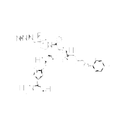 [N-]=[N+]=NC[C@@]1(F)C[C@@H](C(=O)NCc2cc(C(=N)N)cs2)N(C(=O)CNC(=O)CCCOc2ccccc2)C1